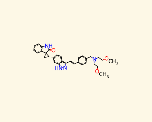 COCCN(CCOC)Cc1ccc(C=Cc2n[nH]c3cc([C@@H]4C[C@@]45C(=O)Nc4ccccc45)ccc23)cc1